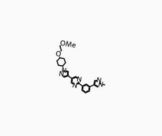 COCCO[C@H]1CC[C@@H](n2cc(-c3cnc(-c4cccc(-c5cnn(C)c5)c4)nc3)cn2)CC1